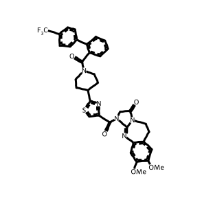 COc1cc2c(cc1OC)N=C1N(CC2)C(=O)CN1C(=O)c1csc(C2CCN(C(=O)c3ccccc3-c3ccc(C(F)(F)F)cc3)CC2)n1